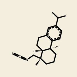 CC(C)c1ccc2c(c1)CC[C@H]1[C@@](C)(CN=C=S)CCC[C@]21C